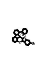 OC1(c2ccccc2-c2ccccc2)c2ccccc2Sc2c1sc1cc(Br)ccc21